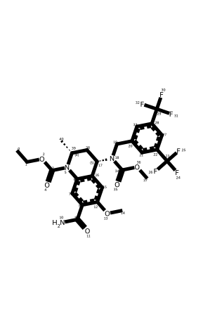 CCOC(=O)N1c2cc(C(N)=O)c(OC)cc2[C@@H](N(Cc2cc(C(F)(F)F)cc(C(F)(F)F)c2)C(=O)OC)C[C@H]1C